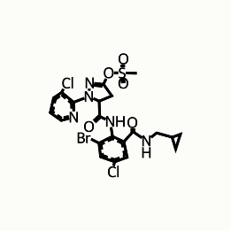 CS(=O)(=O)OC1=NN(c2ncccc2Cl)C(C(=O)Nc2c(Br)cc(Cl)cc2C(=O)NCC2CC2)C1